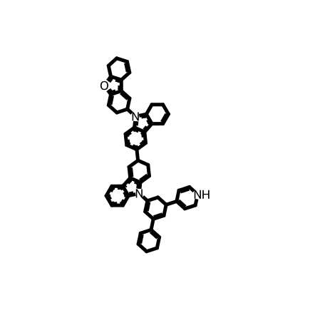 C1=CC(C2=CC(C3=CCNC=C3)CC(n3c4c(c5ccccc53)=CC(c3ccc5c(c3)c3c(n5C5C=c6c7c(oc6=CC5)CCC=C7)CCC=C3)CC=4)=C2)=CCC1